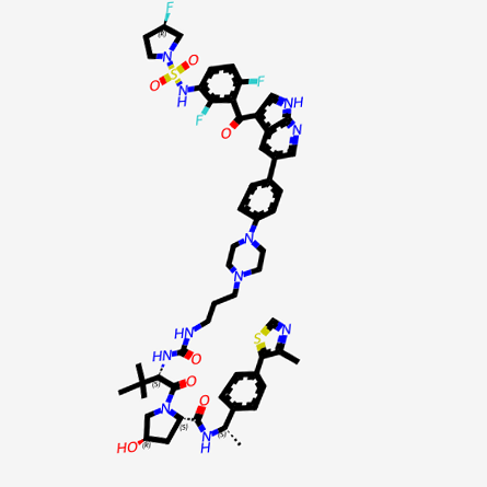 Cc1ncsc1-c1ccc([C@H](C)NC(=O)[C@@H]2C[C@@H](O)CN2C(=O)[C@@H](NC(=O)NCCCN2CCN(c3ccc(-c4cnc5[nH]cc(C(=O)c6c(F)ccc(NS(=O)(=O)N7CC[C@@H](F)C7)c6F)c5c4)cc3)CC2)C(C)(C)C)cc1